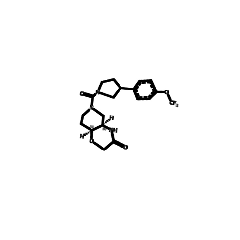 O=C1CO[C@H]2CCN(C(=O)N3CCC(c4ccc(OC(F)(F)F)cc4)C3)C[C@H]2N1